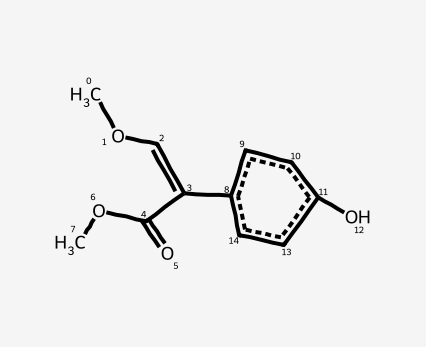 COC=C(C(=O)OC)c1ccc(O)cc1